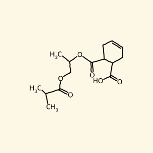 CC(COC(=O)C(C)C)OC(=O)C1CC=CCC1C(=O)O